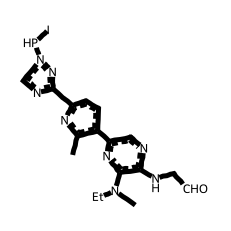 CCN(C)c1nc(-c2ccc(-c3ncn(PI)n3)nc2C)cnc1NCC=O